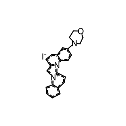 [I-].c1ccc2c(c1)ccc1n3c(ccc4cc(N5CCOCC5)ccc43)c[n+]21